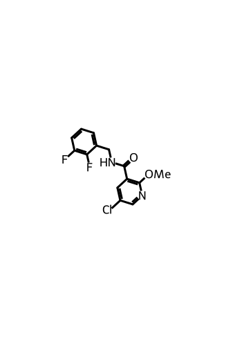 COc1ncc(Cl)cc1C(=O)NCc1cccc(F)c1F